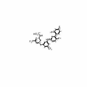 O=C(O)NCC/S(Cc1cc(Nc2ncc(F)c(-c3ccc(F)cc3F)n2)cc(C(F)(F)F)c1)=N\C(=O)C(F)(F)F